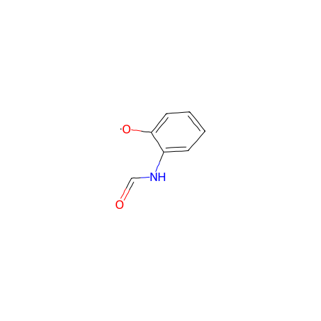 [O]c1ccccc1NC=O